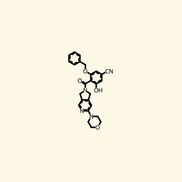 N#Cc1cc(O)c(C(=O)N2Cc3cnc(N4CCOCC4)cc3C2)c(OCc2ccccc2)c1